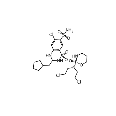 NS(=O)(=O)c1cc2c(cc1Cl)NC(CC1CCCC1)NS2(=O)=O.O=P1(N(CCCl)CCCl)NCCCO1